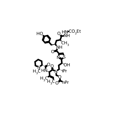 C/C=C(\C)[C@H](NC(=O)[C@H]1CCCCN1C)C(=O)N(COC(=O)CCC)[C@H](C[C@@H](O)c1nc(C(=O)N[C@@H](Cc2ccc(O)cc2)C[C@H](C)C(=O)NNC(=O)OCC)cs1)C(C)C